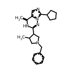 C=C1NC(C2CN(Cc3ccccc3)CC2C)=Nn2c1cnc2C1CCCC1